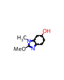 COc1nc2ccc(O)cc2n1C